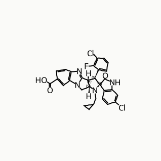 O=C(O)c1ccc2nc3n(c2c1)C[C@@H]1[C@H]3[C@@H](c2cccc(Cl)c2F)[C@@]2(C(=O)Nc3cc(Cl)ccc32)N1CC1CC1